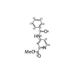 COC(=O)c1cc(NC(=O)c2ccccc2)ccn1